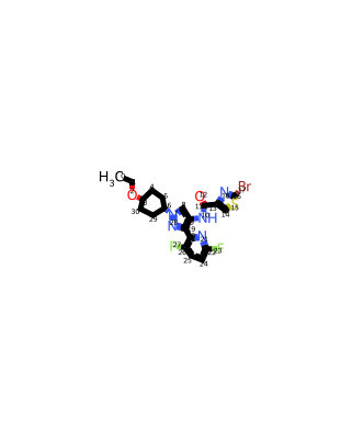 CCOC1CCC(n2cc(NC(=O)c3csc(Br)n3)c(-c3nc(F)ccc3F)n2)CC1